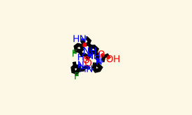 Cc1ccc(F)c2c1NC(C(=O)Nc1cccc(N3CC(CO)OC(c4ccc(C5CCNCC5)cc4NC(=O)C4Cc5c(F)ccc(C)c5N4)C3)c1)C2